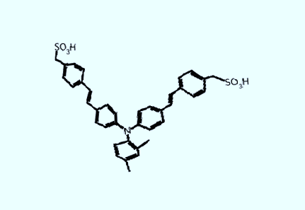 Cc1ccc(N(c2ccc(/C=C/c3ccc(CS(=O)(=O)O)cc3)cc2)c2ccc(/C=C/c3ccc(CS(=O)(=O)O)cc3)cc2)c(C)c1